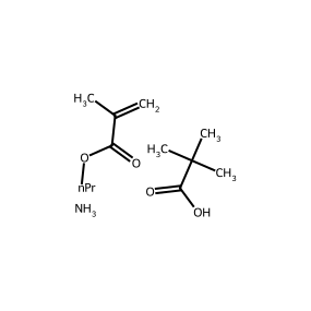 C=C(C)C(=O)OCCC.CC(C)(C)C(=O)O.N